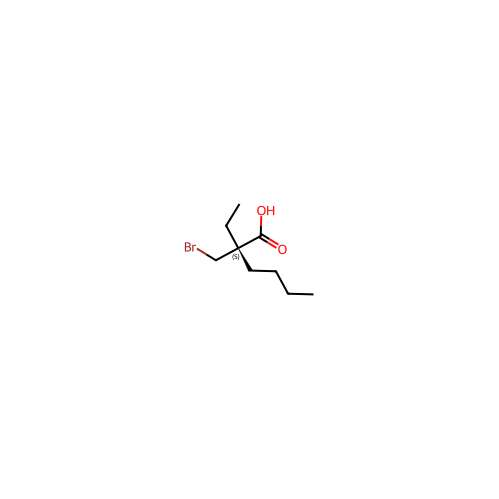 CCCC[C@](CC)(CBr)C(=O)O